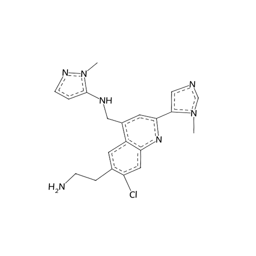 Cn1cncc1-c1cc(CNc2ccnn2C)c2cc(CCN)c(Cl)cc2n1